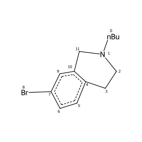 CCCCN1CCc2ccc(Br)cc2C1